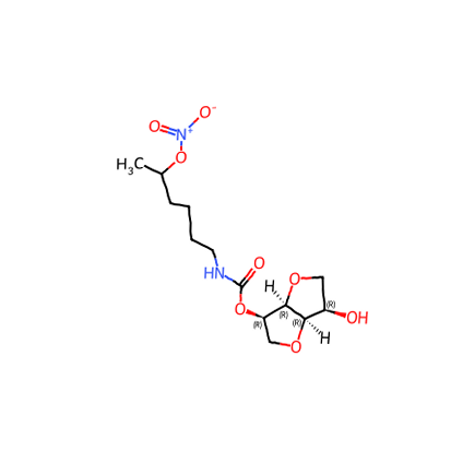 CC(CCCCNC(=O)O[C@@H]1CO[C@H]2[C@@H]1OC[C@H]2O)O[N+](=O)[O-]